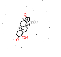 CCCC[C@H]1CC(=O)[C@@]2(C)CC[C@H]3[C@@H](CCC4=C(O)C(=O)CC[C@@]43C)[C@H]12